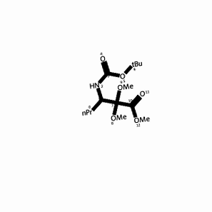 CCCC(NC(=O)OC(C)(C)C)C(OC)(OC)C(=O)OC